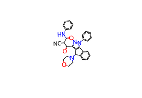 N#CC(C(=O)Nc1ccccc1)C(=O)c1nn(-c2ccccc2)c2c1C(N1CCOCC1)c1ccccc1-2